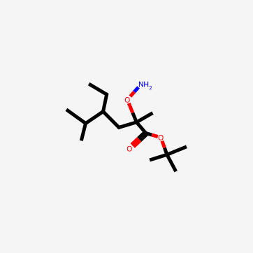 CCC(CC(C)(ON)C(=O)OC(C)(C)C)C(C)C